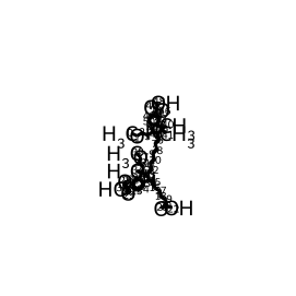 COCC[N+]1=C(/C=C/C=C/C=C/C=C2/N(CCCCCC(=O)O)c3ccc(S(=O)(=O)O)cc3C2(C)CCOC)C(C)(C)c2cc(S(=O)(=O)O)ccc21